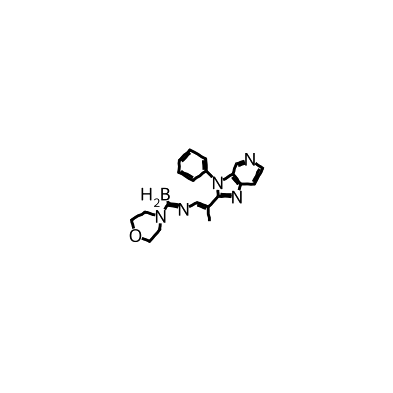 B/C(=N\C=C(/C)c1nc2ccncc2n1-c1ccccc1)N1CCOCC1